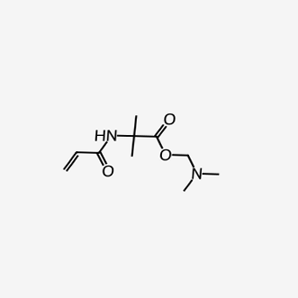 C=CC(=O)NC(C)(C)C(=O)OCN(C)C